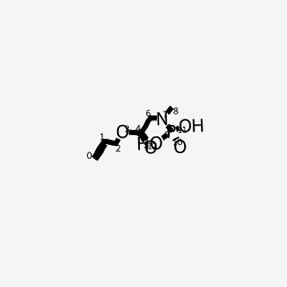 C=CCOC(=O)CN(C)P(=O)(O)O